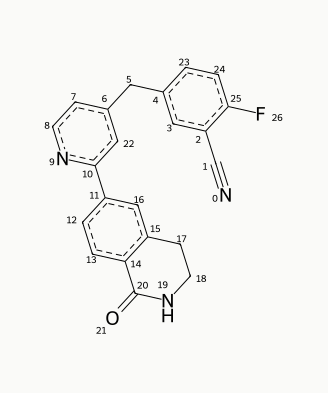 N#Cc1cc(Cc2ccnc(-c3ccc4c(c3)CCNC4=O)c2)ccc1F